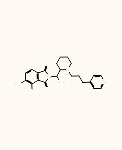 Cc1ccc2c(c1C)C(=O)N(C(C)C1CCCCN1CCCc1ccncc1)C2=O